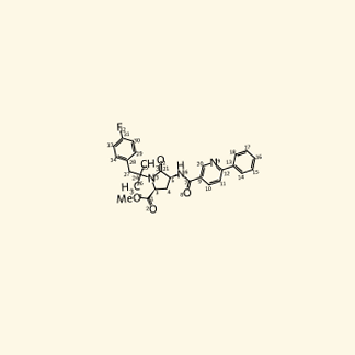 COC(=O)[C@@H]1C[C@H](NC(=O)c2ccc(-c3ccccc3)nc2)C(=O)N1C(C)(C)Cc1ccc(F)cc1